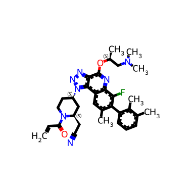 C=CC(=O)N1CC[C@H](n2nnc3c(O[C@@H](C)CN(C)C)nc4c(F)c(-c5cccc(C)c5C)c(C)cc4c32)C[C@H]1CC#N